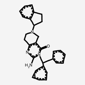 Nc1nc2c(c(=O)n1C(c1ccccc1)c1ccccc1)CN(C1CCc3ccccc31)CC2